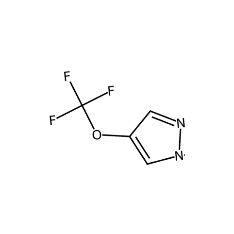 FC(F)(F)OC1=C[N]N=C1